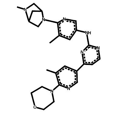 Cc1cc(-c2ccnc(Nc3cnc(N4CC5CC4CN5C)c(C)c3)n2)cnc1N1CCOCC1